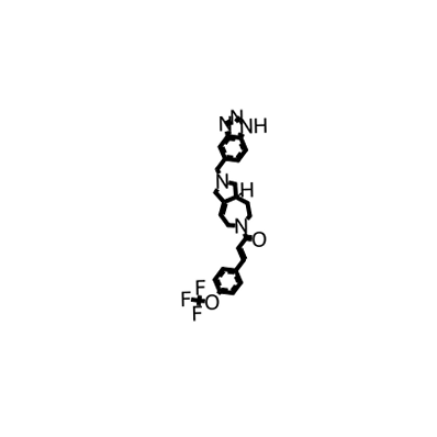 O=C(C=Cc1ccc(OC(F)(F)F)cc1)N1CC=C2CN(Cc3ccc4[nH]nnc4c3)C[C@H]2CC1